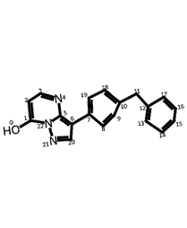 Oc1ccnc2c(-c3ccc(Cc4ccccc4)cc3)cnn12